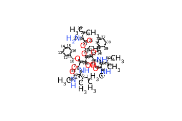 CCC(C)[C@H](NC(=O)[C@H](OCc1ccccc1)[C@H](O)[C@@H](OC(C)OC(=O)[C@@H](N)C(C)C)[C@@H](OCc1ccccc1)C(=O)N[C@H](C(=O)NC)C(C)CC)C(=O)NC